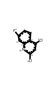 Fc1ccc2c(Cl)cc(Cl)nc2c1